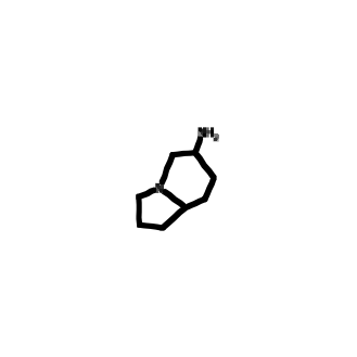 NC1CCC2CCCN2C1